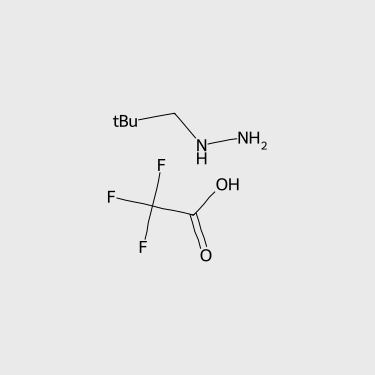 CC(C)(C)CNN.O=C(O)C(F)(F)F